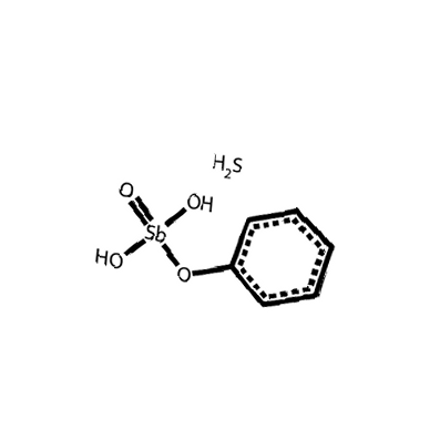 S.[O]=[Sb]([OH])([OH])[O]c1ccccc1